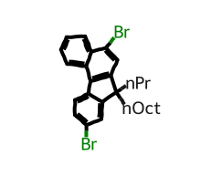 CCCCCCCCC1(CCC)c2cc(Br)ccc2-c2c1cc(Br)c1ccccc21